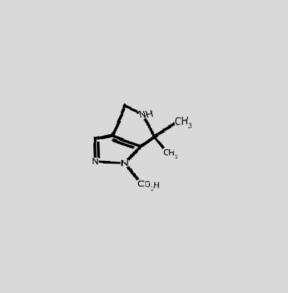 CC1(C)NCc2cnn(C(=O)O)c21